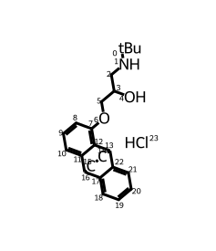 CC(C)(C)NCC(O)COc1cccc2c1C1CCC2c2ccccc21.Cl